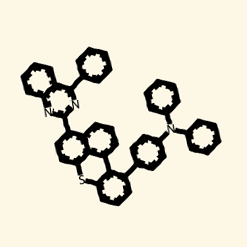 c1ccc(-c2nc(-c3ccc4c5c(cccc35)-c3c(cccc3-c3ccc(N(c5ccccc5)c5ccccc5)cc3)S4)nc3ccccc23)cc1